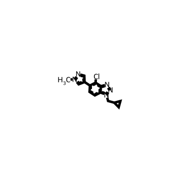 Cn1cc(-c2ccc3c(nnn3CC3CC3)c2Cl)cn1